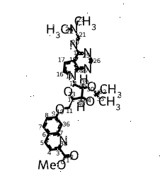 COC(=O)c1ccc2ccc(OC[C@H]3O[C@@H](n4ccc5c(/N=C/N(C)C)ncnc54)[C@@H]4OC(C)(C)O[C@@H]43)cc2n1